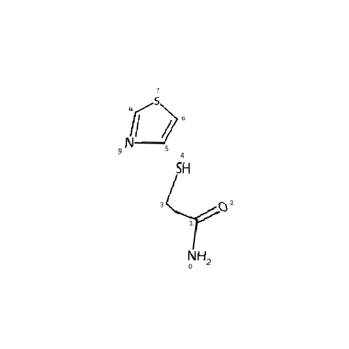 NC(=O)CS.c1cscn1